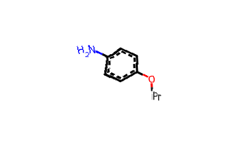 [CH2]C(C)Oc1ccc(N)cc1